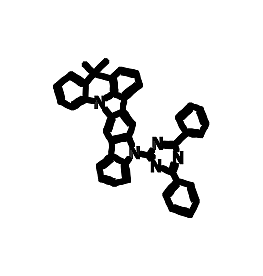 CC1(C)c2ccccc2-n2c3cc4c5ccccc5n(-c5nc(-c6ccccc6)nc(-c6ccccc6)n5)c4cc3c3cccc1c32